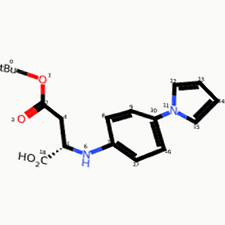 CC(C)(C)OC(=O)C[C@H](Nc1ccc(-n2cccc2)cc1)C(=O)O